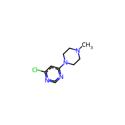 CN1CCN(c2cc(Cl)ncn2)CC1